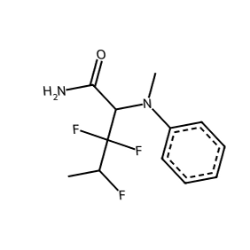 CC(F)C(F)(F)C(C(N)=O)N(C)c1ccccc1